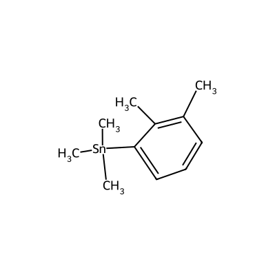 Cc1ccc[c]([Sn]([CH3])([CH3])[CH3])c1C